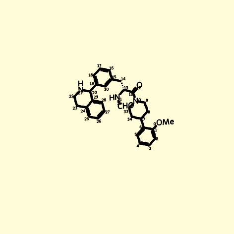 COc1ccccc1C1CCN(C(=O)[C@@H](Cc2cccc(C3NCCc4ccccc43)c2)NC=O)CC1